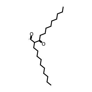 CCCCCCCCCCC([C]=O)C(=O)CCCCCCCCC